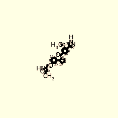 COc1cc(C(=O)N2CCCC2c2cccc(OCC3C=C(C)ON3)c2)ccc1-c1cn[nH]c1